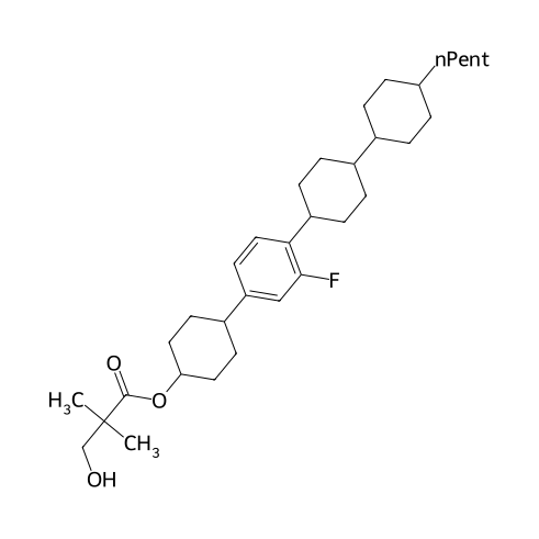 CCCCCC1CCC(C2CCC(c3ccc(C4CCC(OC(=O)C(C)(C)CO)CC4)cc3F)CC2)CC1